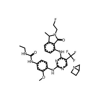 C1CN2CC12.CCNC(=O)Nc1ccc(Nc2ncc(C(F)(F)F)c(Nc3cccc4c3C(=O)N(CCF)C4C)n2)c(OC)c1